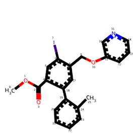 COC(=O)c1cc(I)c(COc2cccnc2)cc1-c1ccccc1C